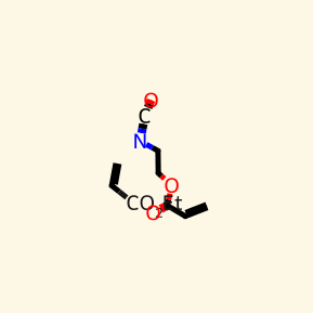 C=CC(=O)OCC.C=CC(=O)OCCN=C=O